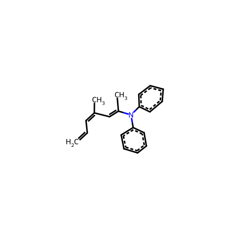 C=C/C=C(C)\C=C(/C)N(c1ccccc1)c1ccccc1